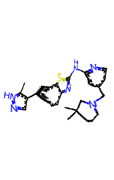 Cc1[nH]ncc1-c1ccc2nc(Nc3cc(CN4CCC(C)(C)C4)ccn3)sc2c1